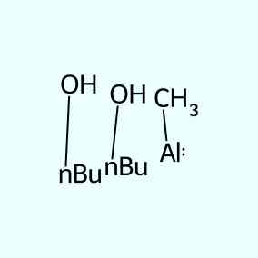 CCCCO.CCCCO.[CH3][Al]